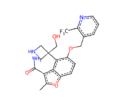 Cc1oc2ccc(OCc3cccnc3C(F)(F)F)c(C3(CO)CNC3)c2c1C(N)=O